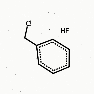 ClCc1ccccc1.F